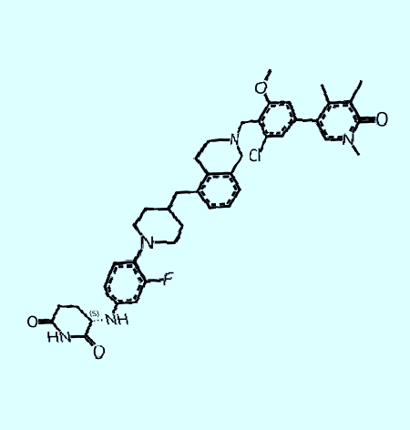 COc1cc(-c2cn(C)c(=O)c(C)c2C)cc(Cl)c1CN1CCc2c(CC3CCN(c4ccc(N[C@H]5CCC(=O)NC5=O)cc4F)CC3)cccc2C1